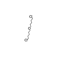 ClCCCCCOCCCCCCl